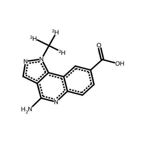 [2H]C([2H])([2H])n1ncc2c(N)nc3ccc(C(=O)O)cc3c21